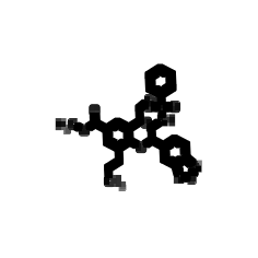 CCCc1cc(C(=O)OC)cc(CCC)c1OC(C(=O)NS(=O)(=O)c1ccccc1)c1ccc2nsnc2c1